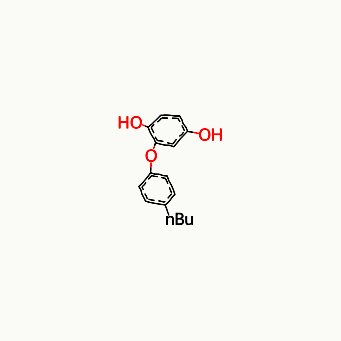 CCCCc1ccc(Oc2cc(O)ccc2O)cc1